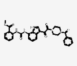 COC(=O)c1ccccc1NC(=O)Nc1cccc2c(C(=O)C(=O)N3CCN(C(=O)c4ccccc4)CC3)c[nH]c12